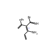 C=C/C(N)=C(\C(=C)CCC)C(=N)Br